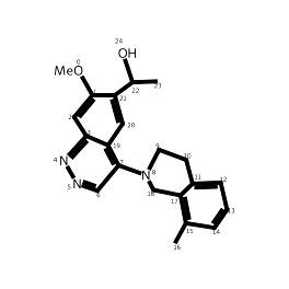 COc1cc2nncc(N3CCc4cccc(C)c4C3)c2cc1C(C)O